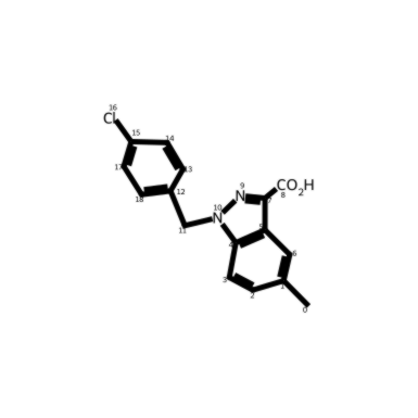 Cc1ccc2c(c1)c(C(=O)O)nn2Cc1ccc(Cl)cc1